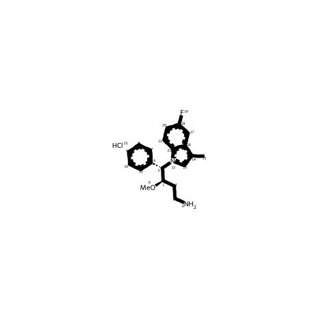 CO[C@H](CCN)[C@H](c1ccccc1)n1cc(C)c2cc(F)ccc21.Cl